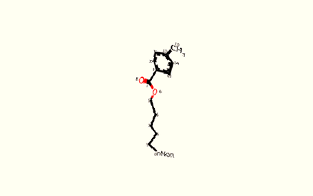 CCCCCCCCCCCCCCOC(=O)c1ccc(C)cc1